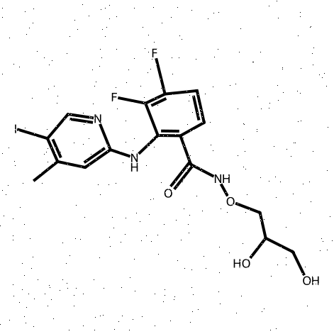 Cc1cc(Nc2c(C(=O)NOCC(O)CO)ccc(F)c2F)ncc1I